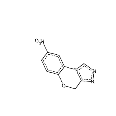 O=[N+]([O-])c1ccc2c(c1)-n1cnnc1CO2